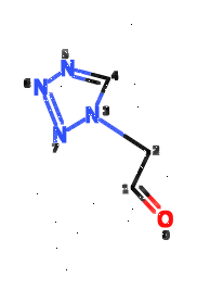 O=CCn1cnnn1